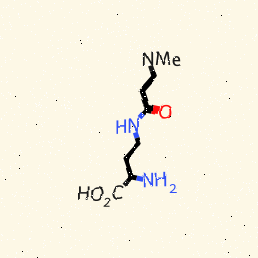 CNCCC(=O)NCCC(N)C(=O)O